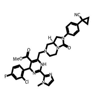 COC(=O)C1=C(CN2CCN3C(=O)N(c4ccc(C5(C#N)CC5)cc4)C[C@@H]3C2)NC(c2nccn2C)=NC1c1ccc(F)cc1Cl